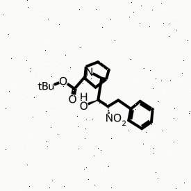 CC(C)(C)OC(=O)N1C2CCC(CC2)C1[C@H](O)[C@H](Cc1ccccc1)[N+](=O)[O-]